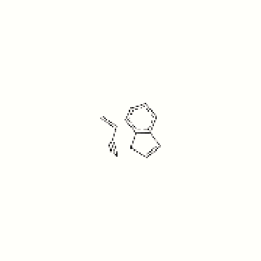 C1=Cc2ccccc2C1.C=CC#N